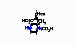 CCCCCCC(C)C(=O)O.O=C(O)N1CCNCC1